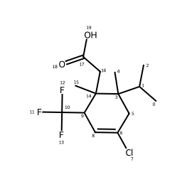 CC(C)C1(C)CC(Cl)=CC(C(F)(F)F)C1(C)CC(=O)O